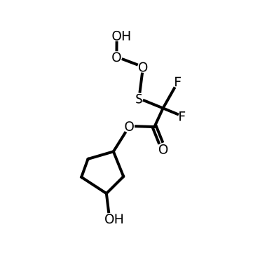 O=C(OC1CCC(O)C1)C(F)(F)SOOO